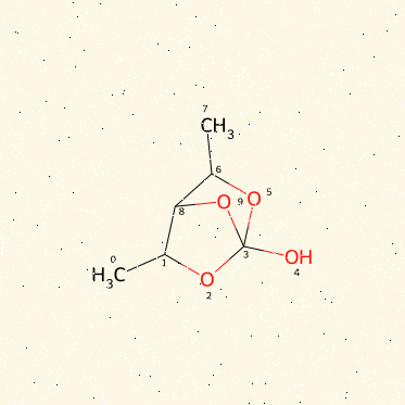 CC1OC2(O)OC(C)C1O2